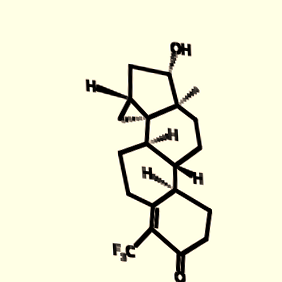 C[C@]12CC[C@H]3[C@@H](CCC4=C(C(F)(F)F)C(=O)CC[C@@H]43)[C@]13C[C@@H]3C[C@@H]2O